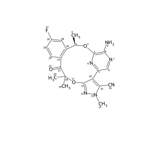 C[C@H]1Oc2nc(cnc2N)-c2c(nn(C)c2C#N)OC(C)(C)C(=O)c2ccc(F)cc21